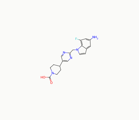 Nc1cc(F)c2c(ccn2Cc2ncc(C3CCN(C(=O)O)CC3)cn2)c1